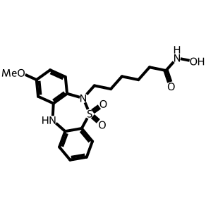 COc1ccc2c(c1)Nc1ccccc1S(=O)(=O)N2CCCCCC(=O)NO